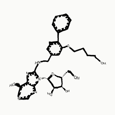 OCCCCOc1cc(CNc2nc3c(O)ncnc3n2[C@@H]2O[C@H](CO)[C@@H](O)[C@H]2O)ccc1-c1ccccc1